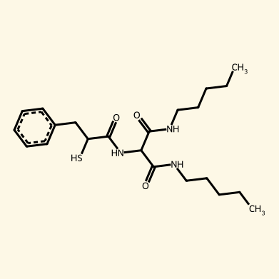 CCCCCNC(=O)C(NC(=O)C(S)Cc1ccccc1)C(=O)NCCCCC